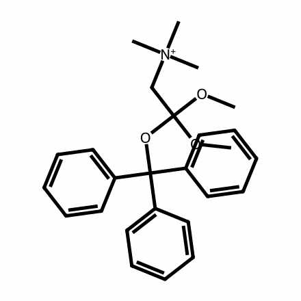 COC(C[N+](C)(C)C)(OC)OC(c1ccccc1)(c1ccccc1)c1ccccc1